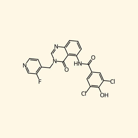 O=C(Nc1cccc2ncn(Cc3ccncc3F)c(=O)c12)c1cc(Cl)c(O)c(Cl)c1